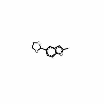 Cc1cc2cc(C3OCCO3)ccc2o1